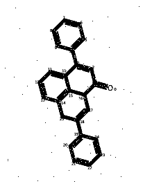 O=C1C=C(c2ccccc2)c2cccc3c2C1C=C(c1ccccc1)C3